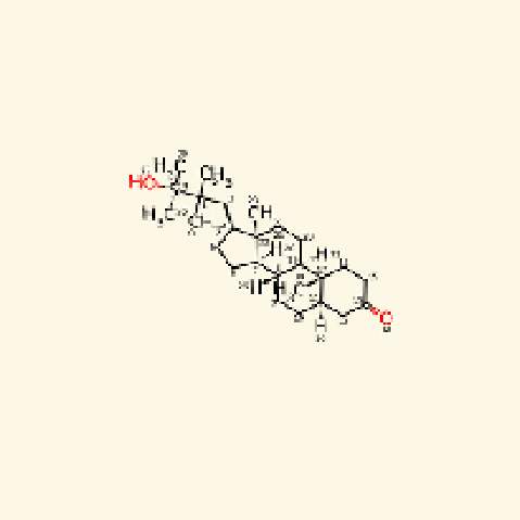 CC(C)(C[C@@H]1CC[C@@H]2[C@H]3CC[C@@H]4CC(=O)CC[C@@]4(C)[C@@H]3CC[C@@]12C)[Si](C)(C)O